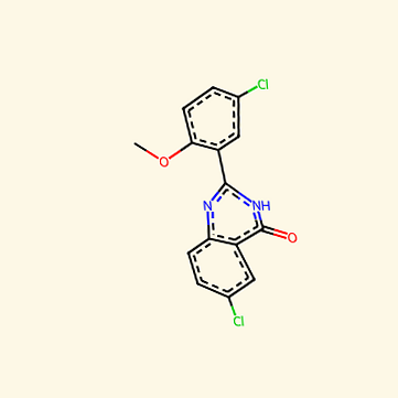 COc1ccc(Cl)cc1-c1nc2ccc(Cl)cc2c(=O)[nH]1